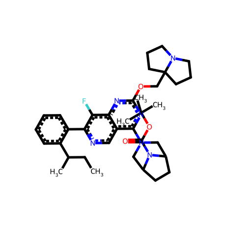 CCC(C)c1ccccc1-c1ncc2c(N3CC4CCC(C3)N4C(=O)OC(C)(C)C)nc(OCC34CCCN3CCC4)nc2c1F